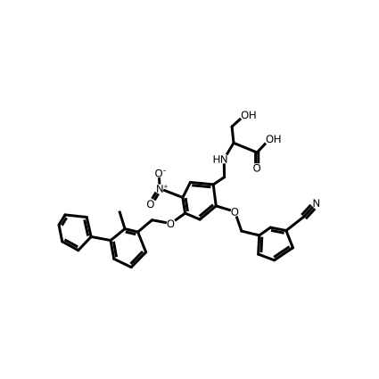 Cc1c(COc2cc(OCc3cccc(C#N)c3)c(CNC(CO)C(=O)O)cc2[N+](=O)[O-])cccc1-c1ccccc1